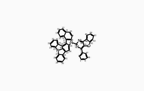 c1ccc(-c2nc(-n3c4ccc5ccccc5c4c4c5c6ccccc6n6c7ccccc7c(cc43)c56)nc3c2oc2ccccc23)cc1